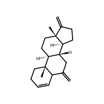 C=C1C[C@@H]2[C@H](CC[C@]3(C)C(=C)CC[C@@H]23)[C@@]2(C)CCC=CC12